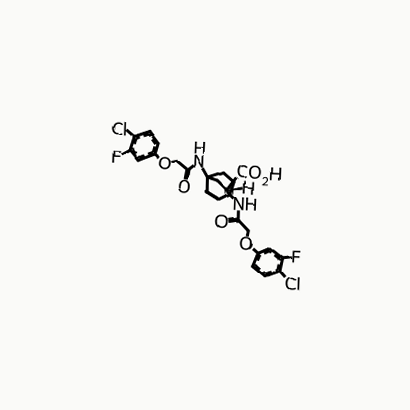 O=C(COc1ccc(Cl)c(F)c1)NC12CCC(NC(=O)COc3ccc(Cl)c(F)c3)(CC1)[C@@H](C(=O)O)C2